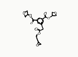 O=C(Cc1cc(C(=O)OC2COC2)cc(C(=O)OC2COC2)c1)OCC1CO1